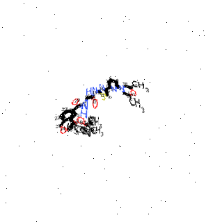 C[C@@H]1CN(c2cccc(-c3csc(NC(=O)CNC(=O)c4ccc5c(c4)C(C#N)(O[Si](C)(C)C)COC5)n3)n2)C[C@H](C)O1